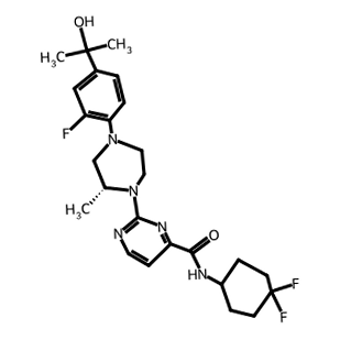 C[C@@H]1CN(c2ccc(C(C)(C)O)cc2F)CCN1c1nccc(C(=O)NC2CCC(F)(F)CC2)n1